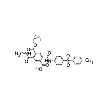 CCOC(=O)c1cc(C(=O)Nc2ccc(S(=O)(=O)c3ccc(C)cc3)cc2)c(C(=O)O)cc1C(=O)NC